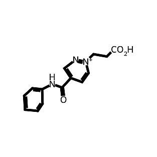 O=C(O)CC[n+]1ccc(C(=O)Nc2ccccc2)cn1